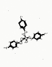 O=P(OOc1ccc(F)cc1)(OOc1ccc(F)cc1)OOc1ccc(F)cc1